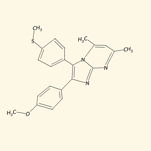 COc1ccc(-c2nc3nc(C)cc(C)n3c2-c2ccc(SC)cc2)cc1